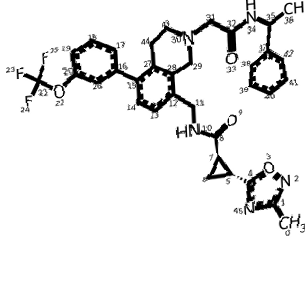 Cc1noc([C@@H]2C[C@H]2C(=O)NCc2ccc(-c3cccc(OC(F)(F)F)c3)c3c2CN(CC(=O)NC(C)c2ccccc2)CC3)n1